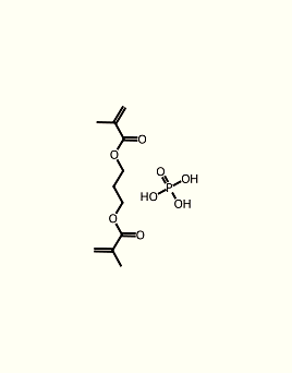 C=C(C)C(=O)OCCCOC(=O)C(=C)C.O=P(O)(O)O